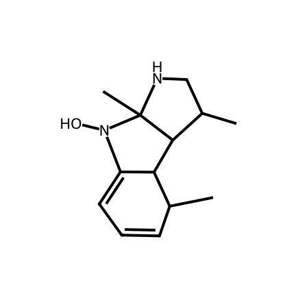 CC1C=CC=C2C1C1C(C)CNC1(C)N2O